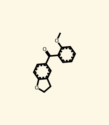 COc1ccccc1C(=O)c1ccc2c(c1)CCO2